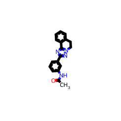 CC(=O)Nc1cccc(-c2nc3n(n2)CCc2ccccc2-3)c1